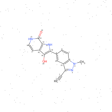 C#Cc1nn(C)c2ccc(-c3[nH]c4c(=O)[nH]ccc4c3O)cc12